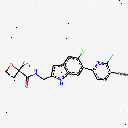 COc1ccc(-c2cc3[nH]c(CNC(=O)[C@]4(C)CCO4)cc3cc2Cl)nc1F